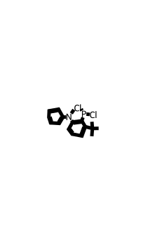 CN(c1ccccc1)c1cccc(C(C)(C)C)c1P(Cl)Cl